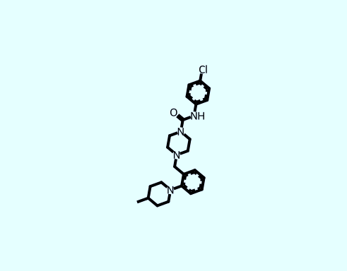 CC1CCN(c2ccccc2CN2CCN(C(=O)Nc3ccc(Cl)cc3)CC2)CC1